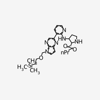 CCCS(=O)(=O)C1NCCC1Nc1ncccc1-c1cnc2c(ccn2COCC[Si](C)(C)C)n1